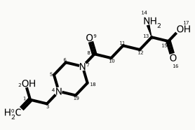 C=C(O)CN1CCN(C(=O)CCC[C@@H](N)C(=O)O)CC1